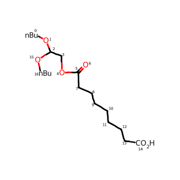 CCCCOC(COC(=O)CCCCCCCC(=O)O)OCCCC